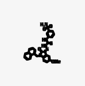 COc1ccc2c(c1)C(=NNC(=S)Nc1cccc(S(N)(=O)=O)c1)C(=O)N2Cc1cccc2ccccc12